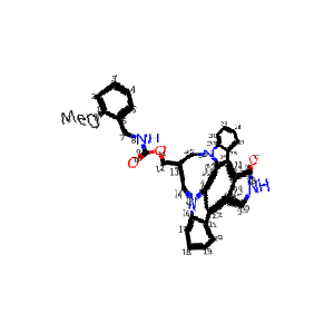 COc1ccccc1CNC(=O)OCC1Cn2c3ccccc3c3c4c(c5c6ccccc6n(c5c32)C1)C(=O)NC4